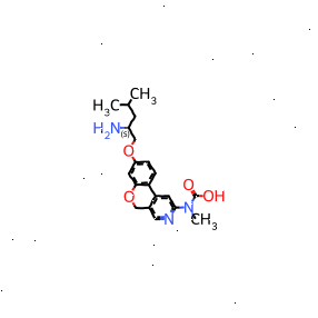 CC(C)C[C@H](N)COc1ccc2c(c1)OCc1cnc(N(C)C(=O)O)cc1-2